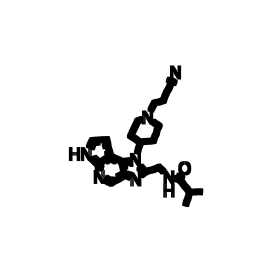 CC(C)C(=O)NCc1nc2cnc3[nH]ccc3c2n1C1CCN(CCC#N)CC1